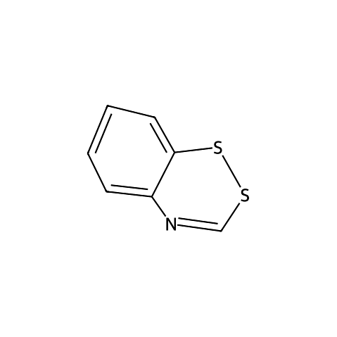 C1=Nc2ccccc2SS1